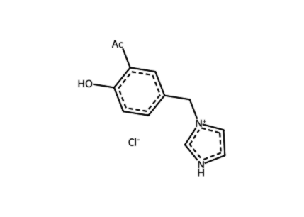 CC(=O)c1cc(C[n+]2cc[nH]c2)ccc1O.[Cl-]